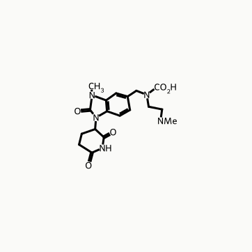 CNCCN(Cc1ccc2c(c1)n(C)c(=O)n2C1CCC(=O)NC1=O)C(=O)O